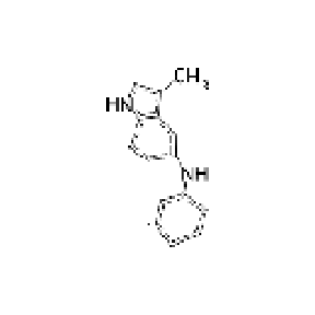 Cc1c[nH]c2ccc(Nc3c[c]ccc3)cc12